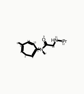 CC1=CCC=C(N(C)C(=O)CNC(C)C)C=C1